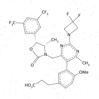 COc1ccc(CCC(=O)O)cc1-c1c(C)nc(N2CC(F)(F)C2)nc1CN1C(=O)O[C@H](c2cc(C(F)(F)F)cc(C(F)(F)F)c2)[C@@H]1C